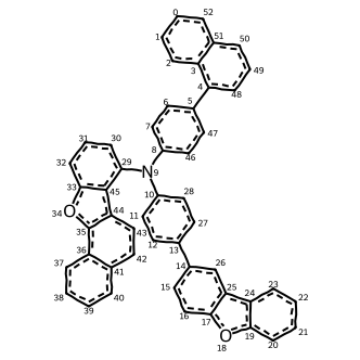 c1ccc2c(-c3ccc(N(c4ccc(-c5ccc6oc7ccccc7c6c5)cc4)c4cccc5oc6c7ccccc7ccc6c45)cc3)cccc2c1